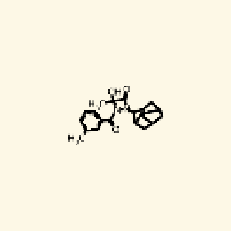 Cc1cccc(C(=O)N2N(C3C4CC5CC(C4)CC3C5)C(=O)C2(C)C)c1